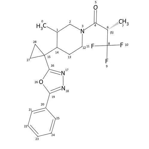 CC1CN(C(=O)[C@H](C)C(F)(F)F)CCC1C1(c2nnc(-c3ccccc3)o2)CC1